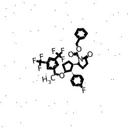 C[C@@H](O[C@H]1CC[C@@H](C2CCC(=O)N2C(=O)OCc2ccccc2)[C@@H]1c1ccc(F)cc1)c1cc(C(F)(F)F)cc(C(F)(F)F)c1